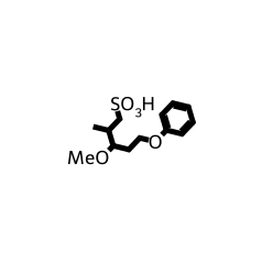 COC(CCOc1ccccc1)C(C)CS(=O)(=O)O